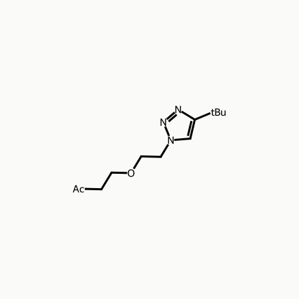 CC(=O)CCOCCn1cc(C(C)(C)C)nn1